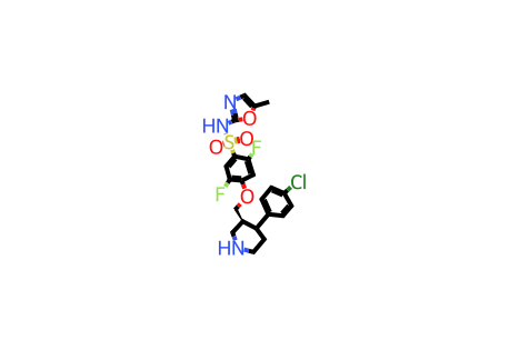 Cc1cnc(NS(=O)(=O)c2cc(F)c(OC[C@@H]3CNCCC3c3ccc(Cl)cc3)cc2F)o1